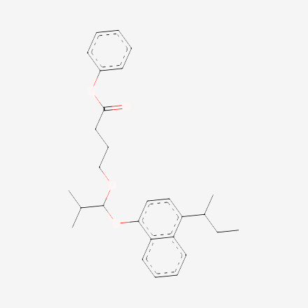 CCC(C)c1ccc(OC(OCCCC(=O)Oc2ccccc2)C(C)C)c2ccccc12